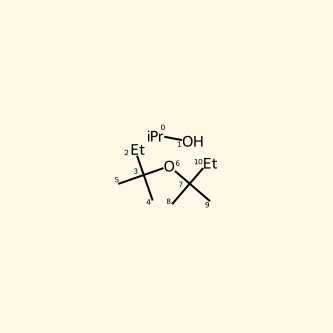 CC(C)O.CCC(C)(C)OC(C)(C)CC